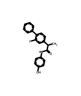 CC(C(=O)Nc1ccc(O)cc1)c1ccc(-c2ccccc2)c(F)c1